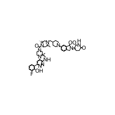 C[C@@H]1CN(CC2CCN(c3ccc4c(c3)C(=O)N([C@H]3CCC(=O)NC3=O)C4)CC2)[C@@H](C)CN1C(=O)N1CCN2c3cc(-c4cccc(F)c4O)nnc3NC[C@@]2(C)C1